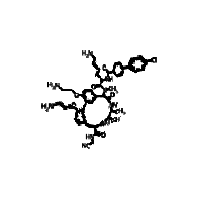 CC1NC(=O)C(N(C)C(=O)C(CCCCN)NC(=O)c2ccc(-c3ccc(Cl)cc3)cc2)c2ccc(OCCN)c(c2)-c2cc(ccc2OCCN)CC(C(=O)NCC#N)NC1O